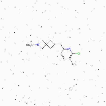 O=C(O)N1CC2(CC(Cc3ccc(C(F)(F)F)c(Cl)n3)C2)C1